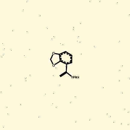 C=C(CCCCCC)c1cccc2c1OCO2